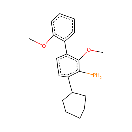 COc1ccccc1-c1ccc(C2CCCCC2)c(P)c1OC